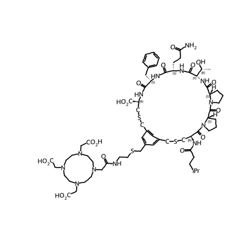 CC(C)CCC(=O)N[C@H]1CSCc2cc(CSCCNC(=O)CN3CCN(CC(=O)O)CCN(CC(=O)O)CCN(CC(=O)O)CC3)cc(c2)CSC[C@@H](C(=O)O)NC(=O)[C@H](Cc2ccccc2)NC(=O)[C@H](CCC(N)=O)NC(=O)[C@H]([C@@H](C)O)NC(=O)[C@@H]2CCCN2C(=O)[C@@H]2CCCN2C1=O